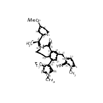 COc1ccnc([C@H](C)N2CCc3c(cc(Cn4ccn(C)c4=N)cc3-c3cn(C)nc3C(F)(F)F)C2=O)c1